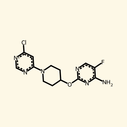 Nc1nc(OC2CCN(c3cc(Cl)ncn3)CC2)ncc1F